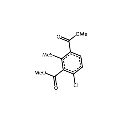 COC(=O)c1ccc(Cl)c(C(=O)OC)c1SC